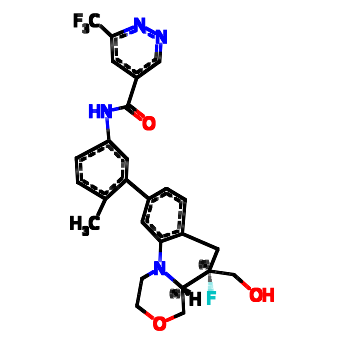 Cc1ccc(NC(=O)c2cnnc(C(F)(F)F)c2)cc1-c1ccc2c(c1)N1CCOC[C@H]1[C@](F)(CO)C2